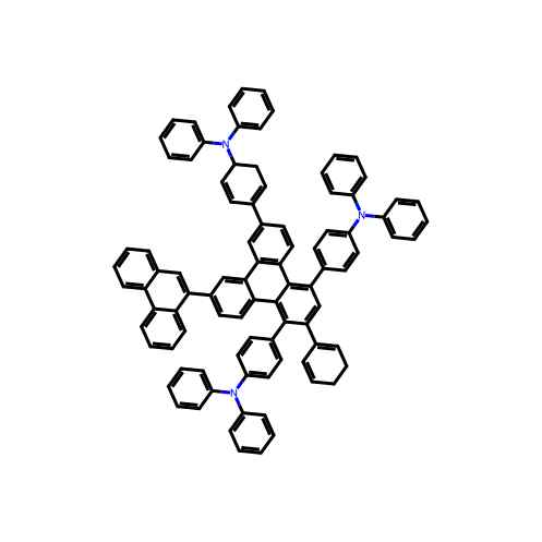 C1=CC(c2cc(-c3ccc(N(c4ccccc4)c4ccccc4)cc3)c3c4ccc(C5=CCC(N(c6ccccc6)c6ccccc6)C=C5)cc4c4cc(-c5cc6ccccc6c6ccccc56)ccc4c3c2-c2ccc(N(c3ccccc3)c3ccccc3)cc2)=CCC1